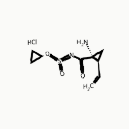 C1CC1.C=C[C@@H]1C[C@]1(N)C(=O)N=S(=O)=O.Cl